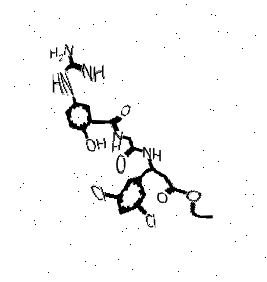 CCOC(=O)CC(NC(=O)CNC(=O)c1cc(NC(=N)N)ccc1O)c1cc(Cl)cc(Cl)c1